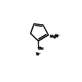 CC(C)(C)C1=CC=CC1.[Br-].[Br-].[Mg+2]